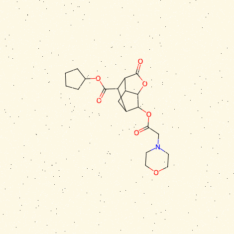 O=C(CN1CCOCC1)OC1C2CC3C1OC(=O)C3C2C(=O)OC1CCCC1